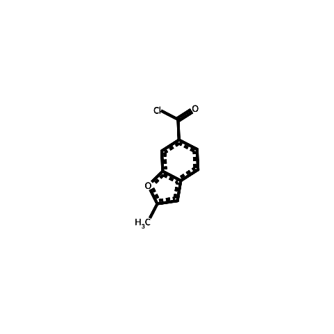 Cc1cc2ccc(C(=O)Cl)cc2o1